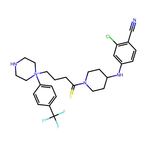 N#Cc1ccc(NC2CCN(C(=S)CCC[N+]3(c4ccc(C(F)(F)F)cc4)CCNCC3)CC2)cc1Cl